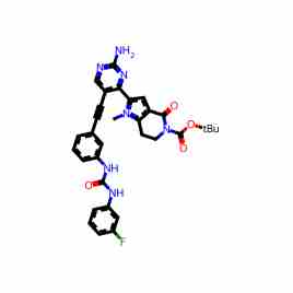 Cn1c(-c2nc(N)ncc2C#Cc2cccc(NC(=O)Nc3cccc(F)c3)c2)cc2c1CCN(C(=O)OC(C)(C)C)C2=O